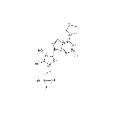 O=P(O)(O)CC[C@H]1O[C@@H](n2cnc3c(N4CCCC4)nc(Cl)nc32)[C@@H](O)C1O